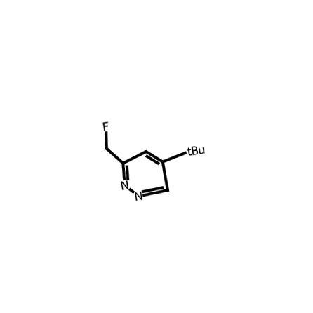 CC(C)(C)c1cnnc(CF)c1